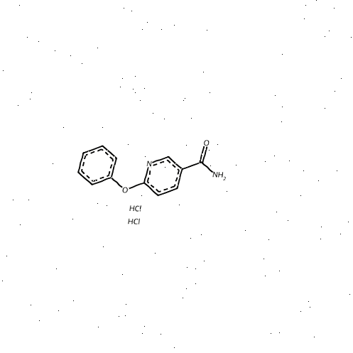 Cl.Cl.NC(=O)c1ccc(Oc2ccccc2)nc1